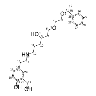 C[C@@H](OCCOCCC(O)CCCNCCc1ccc(O)c(CO)c1)c1ccccc1